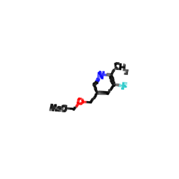 COCOCc1cnc(C)c(F)c1